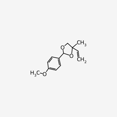 C=CC1(C)COC(c2ccc(OC)cc2)O1